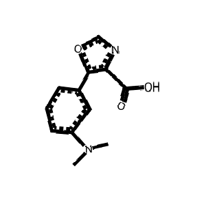 CN(C)c1cccc(-c2ocnc2C(=O)O)c1